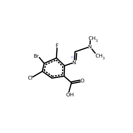 CN(C)/C=N/c1c(C(=O)O)cc(Cl)c(Br)c1F